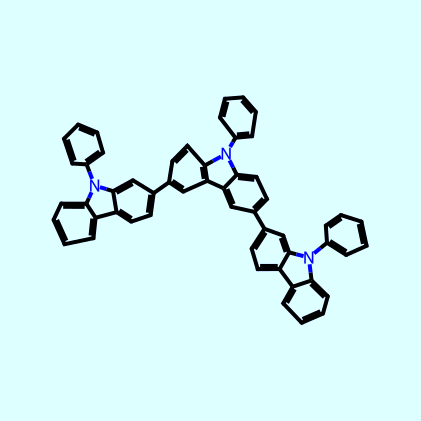 c1ccc(-n2c3ccc(-c4ccc5c6ccccc6n(-c6ccccc6)c5c4)cc3c3cc(-c4ccc5c6ccccc6n(-c6ccccc6)c5c4)ccc32)cc1